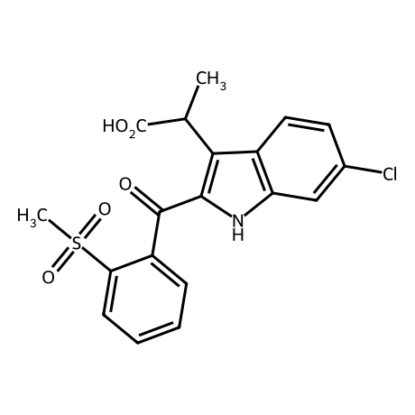 CC(C(=O)O)c1c(C(=O)c2ccccc2S(C)(=O)=O)[nH]c2cc(Cl)ccc12